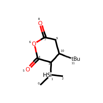 C[SiH](C)C1C(=O)OC(=O)CC1C(C)(C)C